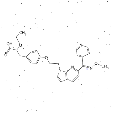 CCOC(Cc1ccc(OCCn2ccc3ccc(/C(=N/OC)c4ccncc4)nc32)cc1)C(=O)O